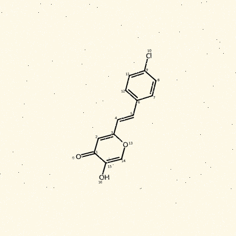 O=c1cc(C=Cc2ccc(Cl)cc2)occ1O